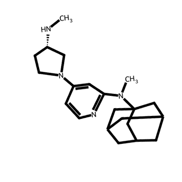 CN[C@H]1CCN(c2ccnc(N(C)C34CC5CC(CC(C5)C3)C4)c2)C1